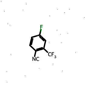 [C-]#[N+]c1ccc(F)cc1C(F)(F)F